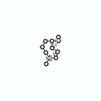 CC1=C=Cc2ccccc2N1c1ccc(-c2cccc(-c3cccc(-c4ccc(-c5nc(-c6ccccc6)nc(-c6cccc7c6sc6c(-c8ccccc8)cccc67)n5)cc4)c3)c2)cc1